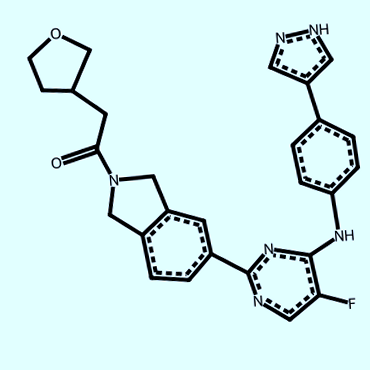 O=C(CC1CCOC1)N1Cc2ccc(-c3ncc(F)c(Nc4ccc(-c5cn[nH]c5)cc4)n3)cc2C1